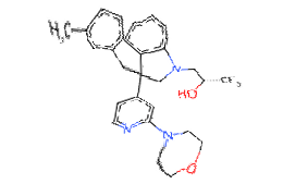 Cc1cccc(CC2(c3ccnc(N4CCOCC4)c3)CN(C[C@@H](O)C(F)(F)F)c3ccccc32)c1